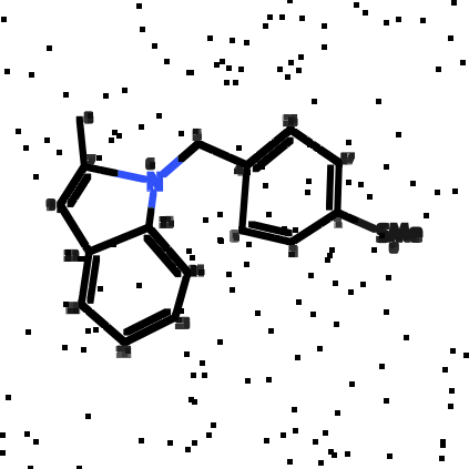 CSc1ccc(Cn2c(C)[c]c3ccccc32)cc1